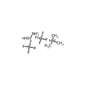 CCCCCC[NH3+].C[NH+](C)C.F[B-](F)(F)F.F[B-](F)(F)F